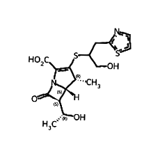 C[C@@H](O)[C@H]1C(=O)N2C(C(=O)O)=C(SC(CO)Cc3nccs3)[C@H](C)[C@H]12